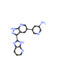 Nc1cncc(-c2cnc3[nH]nc(-c4nc5cccnc5[nH]4)c3c2)c1